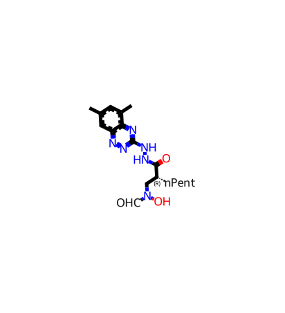 CCCCC[C@H](CN(O)C=O)C(=O)NNc1nnc2cc(C)cc(C)c2n1